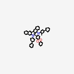 Cc1cc(-c2ccccc2)ccc1N1c2cc3c(cc2B2c4c(cc5ccccc5c41)-c1cc4ccccc4cc1N2c1ccc(-c2ccccc2)cc1)Oc1ccccc1O3